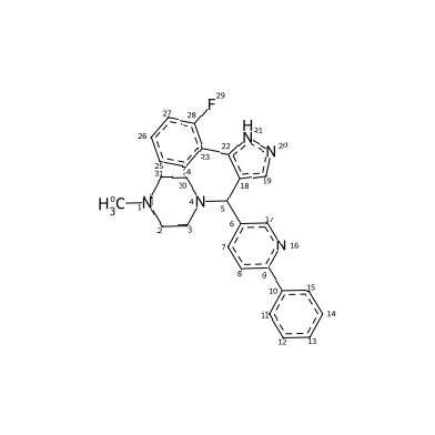 CN1CCN(C(c2ccc(-c3ccccc3)nc2)c2cn[nH]c2-c2ccccc2F)CC1